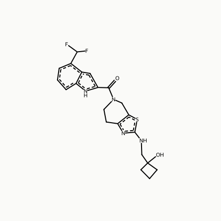 O=C(c1cc2c(C(F)F)cccc2[nH]1)N1CCc2nc(NCC3(O)CCC3)sc2C1